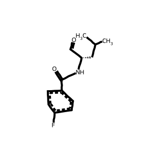 CC(C)C[C@@H](C=O)NC(=O)c1ccc(F)cc1